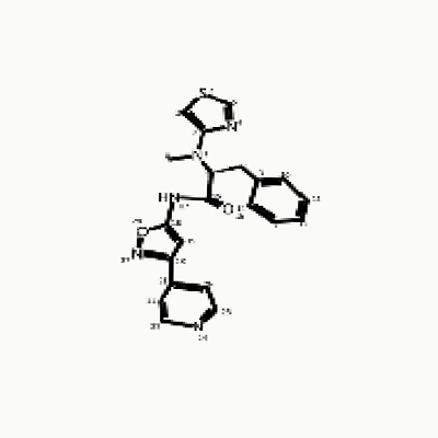 CN(c1cscn1)[C@@H](Cc1ccccc1)C(=O)Nc1cc(-c2ccncc2)no1